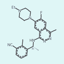 CCN1CCN(c2cc3c(N[C@H](C)c4cccc(C#N)c4C)nnc(C)c3cc2F)CC1